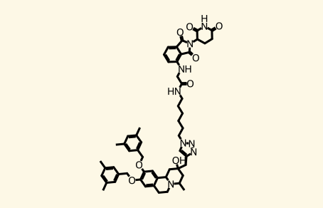 Cc1cc(C)cc(COc2cc3c(cc2OCc2cc(C)cc(C)c2)C2CC(O)(Cc4cn(CCCCCCNC(=O)CNc5cccc6c5C(=O)N(C5CCC(=O)NC5=O)C6=O)nn4)CC(C)N2CC3)c1